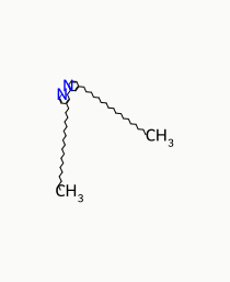 CCCCCCCCCCCCCCCCCCCc1ccnc(-c2cc(CCCCCCCCCCCCCCCCCCC)ccn2)c1